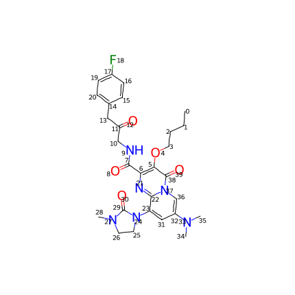 CCCCOc1c(C(=O)NCC(=O)Cc2ccc(F)cc2)nc2c(N3CCN(C)C3=O)cc(N(C)C)cn2c1=O